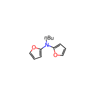 CCCCN(c1ccco1)c1ccco1